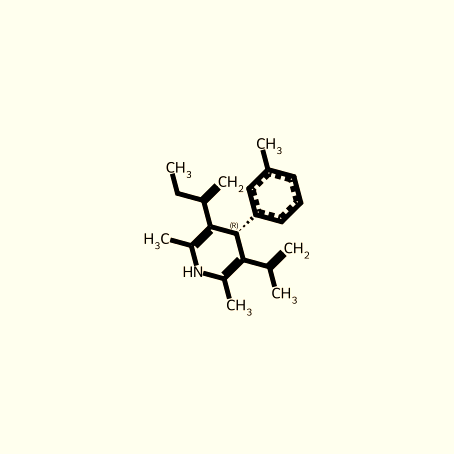 C=C(C)C1=C(C)NC(C)=C(C(=C)CC)[C@@H]1c1cccc(C)c1